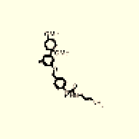 COC1CCC(OC)(c2cc(F)cc(OCc3ccc(N(C)C(=O)NCCCN)cc3)c2)CC1